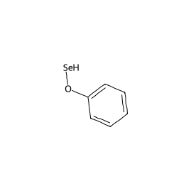 [SeH]Oc1ccccc1